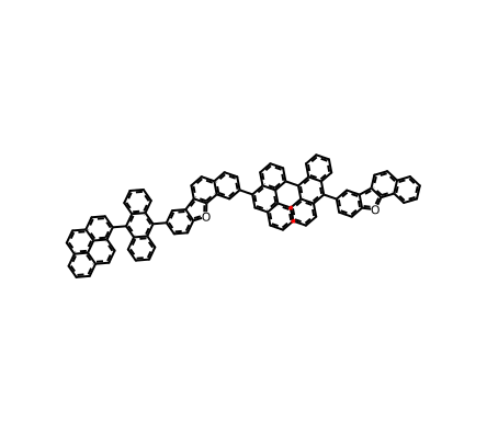 c1ccc2c(c1)ccc1c3cc(-c4c5ccccc5c(-c5cccc6c(-c7ccc8ccc9c%10cc(-c%11c%12ccccc%12c(-c%12ccc%13ccc%14cccc%15ccc%12c%13c%14%15)c%12ccccc%11%12)ccc%10oc9c8c7)cc7ccccc7c56)c5ccccc45)ccc3oc21